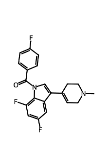 CN1CC=C(c2cn(C(=O)c3ccc(F)cc3)c3c(F)cc(F)cc23)CC1